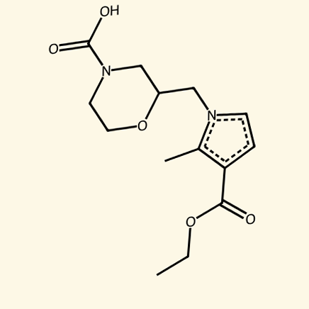 CCOC(=O)c1ccn(CC2CN(C(=O)O)CCO2)c1C